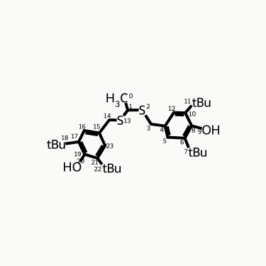 CC(SCc1cc(C(C)(C)C)c(O)c(C(C)(C)C)c1)SCc1cc(C(C)(C)C)c(O)c(C(C)(C)C)c1